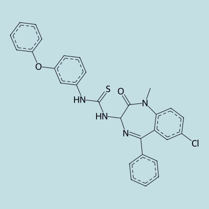 CN1C(=O)C(NC(=S)Nc2cccc(Oc3ccccc3)c2)N=C(c2ccccc2)c2cc(Cl)ccc21